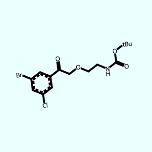 CC(C)(C)OC(=O)NCCOCC(=O)c1cc(Cl)cc(Br)c1